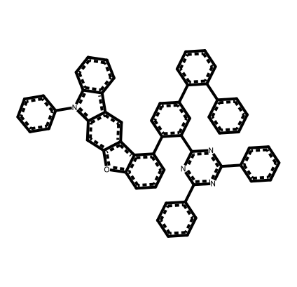 c1ccc(-c2nc(-c3ccccc3)nc(-c3cc(-c4ccccc4-c4ccccc4)ccc3-c3cccc4oc5cc6c(cc5c34)c3ccccc3n6-c3ccccc3)n2)cc1